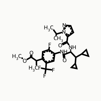 COC(=O)C(C)c1cc(F)c(NC(=O)[C@@H](NC(=O)c2ccnn2C(C)C)C(C2CC2)C2CC2)cc1C(F)(F)F